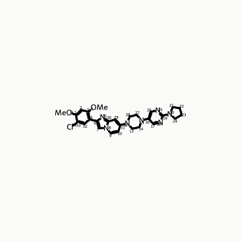 COc1cc(OC)c(-c2cn3ccc(N4CCN(c5cnc(N6CCCC6)nc5)CC4)cc3n2)cc1Cl